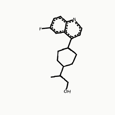 CC(CO)C1CCC(c2ccnc3ccc(F)cc23)CC1